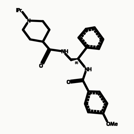 COc1ccc(C(=O)N[C@@H](CNC(=O)C2CCN(C(C)C)CC2)c2ccccc2)cc1